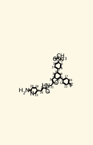 CS(=O)(=O)c1ccc(-c2cc(-c3ccc(F)cc3)c3oc(CNC(=O)C=Cc4ccc(N)nc4)cc3c2)cc1